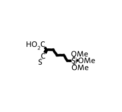 CO[Si](CCCCC(=C=S)C(=O)O)(OC)OC